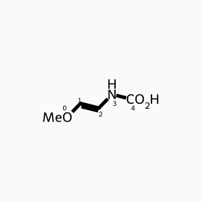 COC=CNC(=O)O